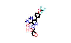 Cn1cnc2c(-c3ccc(OC(F)(F)F)cc3)cnc(NCC3(O)CCOC3)c2c1=O